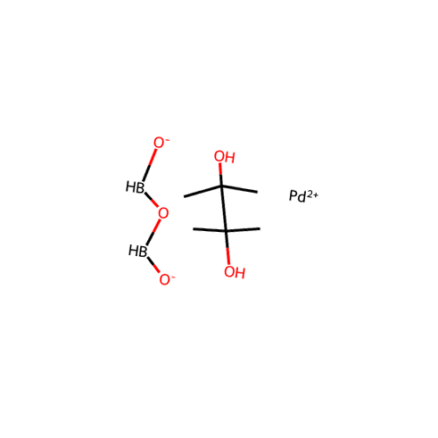 CC(C)(O)C(C)(C)O.[O-]BOB[O-].[Pd+2]